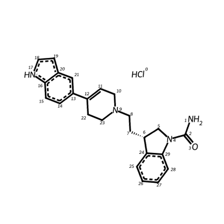 Cl.NC(=O)N1C[C@@H](CCN2CC=C(c3ccc4[nH]ccc4c3)CC2)c2ccccc21